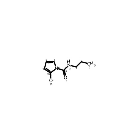 CCCNC(=O)n1cccc1[O]